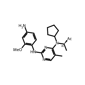 COc1cc(N)ccc1Nc1ncc(C)c(N(C2CCCC2)[C@H](C)C(C)=O)n1